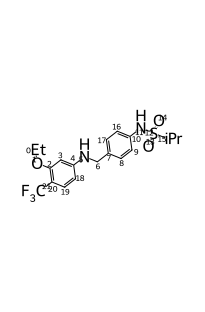 CCOc1cc(NCc2ccc(NS(=O)(=O)C(C)C)cc2)ccc1C(F)(F)F